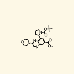 COC(=O)c1cc(C2CCCN2C(=O)OC(C)(C)C)c2nc(N3CCOCC3)cnc2c1